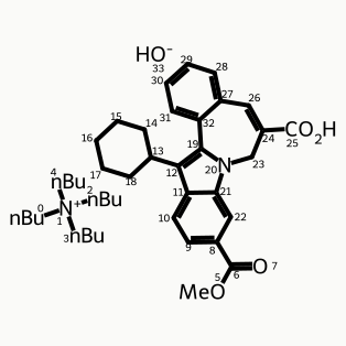 CCCC[N+](CCCC)(CCCC)CCCC.COC(=O)c1ccc2c(C3CCCCC3)c3n(c2c1)CC(C(=O)O)=Cc1ccccc1-3.[OH-]